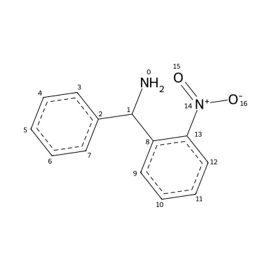 NC(c1ccccc1)c1ccccc1[N+](=O)[O-]